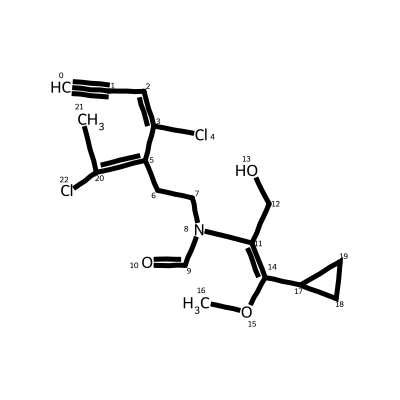 C#C/C=C(Cl)\C(CCN(C=O)/C(CO)=C(\OC)C1CC1)=C(/C)Cl